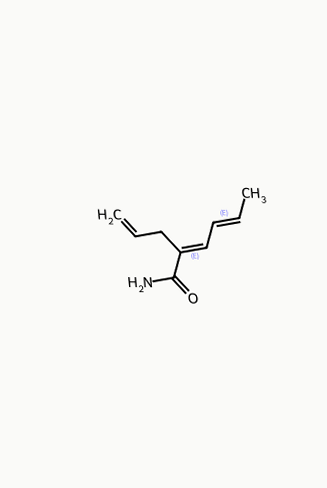 C=CC/C(=C\C=C\C)C(N)=O